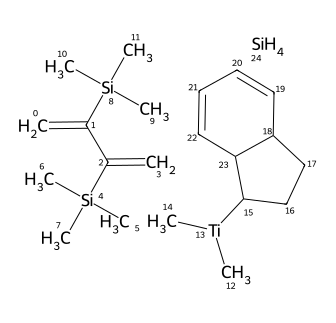 C=C(C(=C)[Si](C)(C)C)[Si](C)(C)C.[CH3][Ti]([CH3])[CH]1CCC2C=CC=CC21.[SiH4]